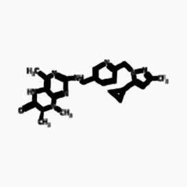 Cc1nc(NCc2ccc(Cn3nc(C(F)(F)F)cc3C3CC3)nc2)nc2c1NC(=O)[C@H](C)N2C